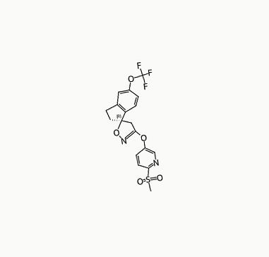 CS(=O)(=O)c1ccc(OC2=NO[C@]3(CCc4cc(OC(F)(F)F)ccc43)C2)cn1